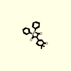 CC1(C)C=CC(C2C(=O)N(c3ccccc3)N(c3ccccc3)C2=O)=CC1=O